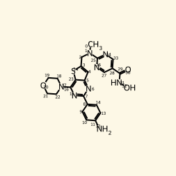 CN(Cc1cc2nc(-c3ccc(N)cc3)nc(N3CCOCC3)c2s1)c1ncc(C(=O)NO)cn1